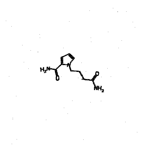 NC(=O)[CH]CCn1cccc1C(N)=O